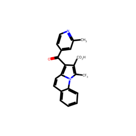 Cc1cc(C(=O)c2c(C(=O)O)c(C(F)(F)F)n3c2ccc2ccccc23)ccn1